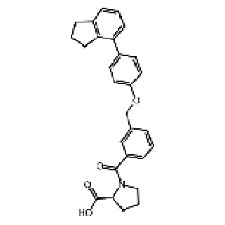 O=C(O)[C@@H]1CCCN1C(=O)c1cccc(COc2ccc(-c3cccc4c3CCC4)cc2)c1